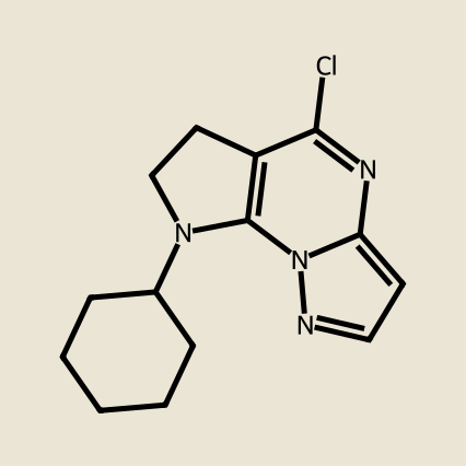 Clc1nc2ccnn2c2c1CCN2C1CCCCC1